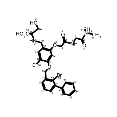 CN(C)C(=O)CNC(=O)COc1cc(OCc2cccc(-c3ccccc3)c2Br)c(Cl)cc1CNC(CO)C(=O)O